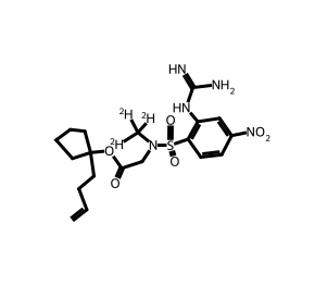 [2H]C([2H])([2H])N(CC(=O)OC1(CCC=C)CCCC1)S(=O)(=O)c1ccc([N+](=O)[O-])cc1NC(=N)N